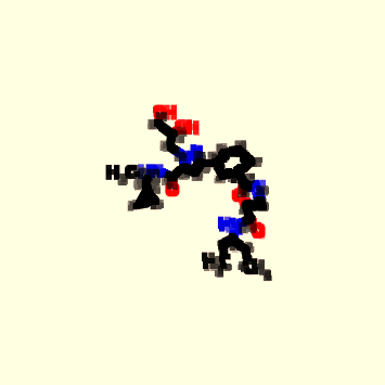 CCC(CC)NC(=O)c1cnc(-c2cccc(-c3cc(C(=O)N[C@@H](C)C4CC4)n(CC(O)CO)n3)c2)o1